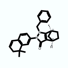 CC1(C)CC=Cc2ccc(-n3c(=O)c4c(n3Cc3ccccc3)[C@@]3(C)CC[C@@H]4C3)cc21